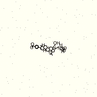 C=C(C)[C@@H]1CC[C@]2(N(CCO)CCN3C[C@@H]4C[C@H]3CS4(=O)=O)CC[C@]3(C)[C@H](CC[C@@H]4[C@@]5(C)CC=C(c6ccc(C(=O)OC)cc6)C(C)(C)[C@@H]5CC[C@]43C)C12